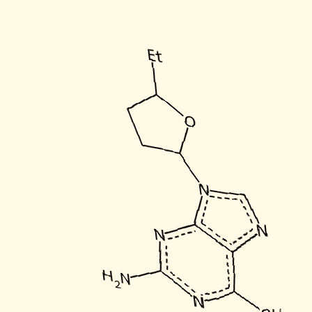 CCC1CCC(n2cnc3c(O)nc(N)nc32)O1